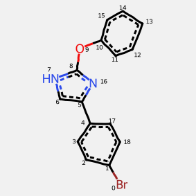 Brc1ccc(-c2c[nH]c(Oc3ccccc3)n2)cc1